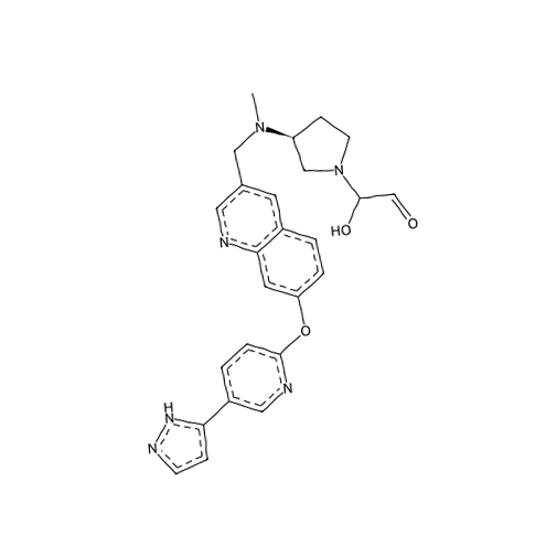 CN(Cc1cnc2cc(Oc3ccc(-c4ccn[nH]4)cn3)ccc2c1)[C@H]1CCN(C(O)C=O)C1